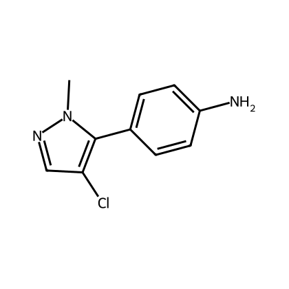 Cn1ncc(Cl)c1-c1ccc(N)cc1